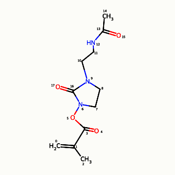 C=C(C)C(=O)ON1CCN(CCNC(C)=O)C1=O